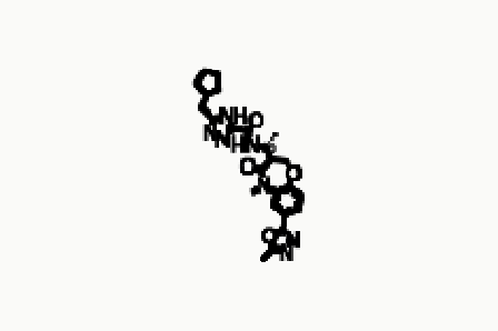 Cc1nnc(-c2ccc3c(c2)N(C)C(=O)C([C@@H](C)NC(=O)c2nnc(CC4CCCC4)[nH]2)CO3)o1